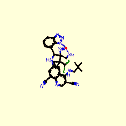 Cn1nnc2cccc(C(Nc3cc(C#N)c4ncc(C#N)c(NCC(C)(C)C)c4c3)C3(C4(C(F)F)CC4)CNN=N3)c21